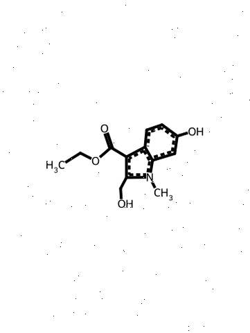 CCOC(=O)c1c(CO)n(C)c2cc(O)ccc12